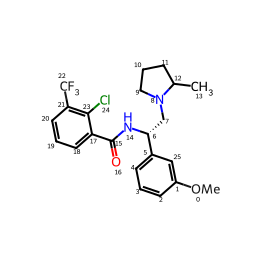 COc1cccc([C@@H](CN2CCCC2C)NC(=O)c2cccc(C(F)(F)F)c2Cl)c1